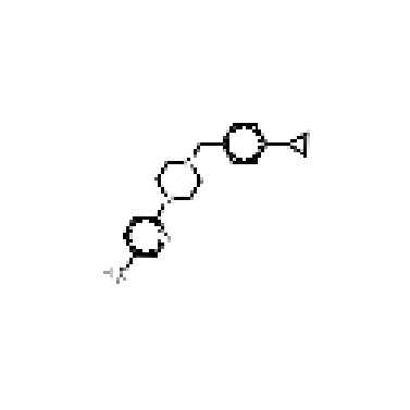 Cc1ccc(N2CCN(Cc3ccc(C4CC4)cc3)CC2)nc1